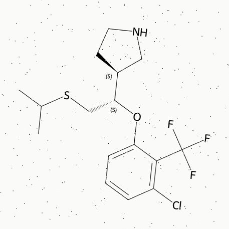 CC(C)SC[C@@H](Oc1cccc(Cl)c1C(F)(F)F)[C@H]1CCNC1